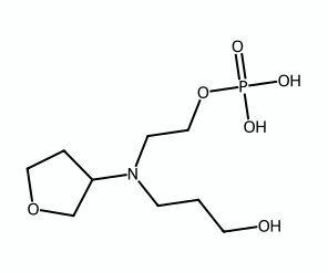 O=P(O)(O)OCCN(CCCO)C1CCOC1